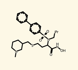 CC(C)CN(C(CCSCC1CCCN(C)C1)C(=O)NO)S(=O)(=O)c1ccc(-c2ccccc2)cc1